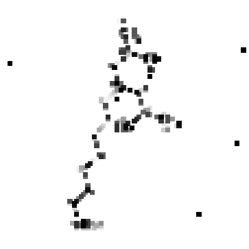 CCCCCCCCCCCCCCCCN(CC(C)O)CC(C)O